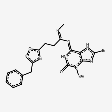 CCCCn1c(=O)[nH]/c(=N\C(CCc2nc(Cc3ccccc3)no2)=N/C)c2[nH]c(Br)nc21